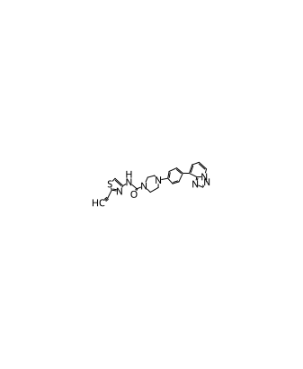 C#Cc1nc(NC(=O)N2CCN(c3ccc(-c4cccn5ncnc45)cc3)CC2)cs1